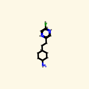 NC1CCC(CCc2cnc(Br)cn2)CC1